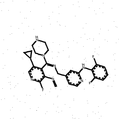 C=Nc1c(F)ncc(C2CC2)c1/C(=N\Cc1ccnc(Nc2c(F)cccc2F)c1)N1CCNCC1